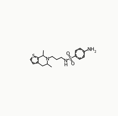 CC1Cc2ccsc2C(C)N1CCCNS(=O)(=O)c1ccc(N)cc1